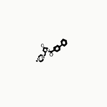 CN1CCN(CC2CC(=O)CN2C(=O)c2ccc(-c3ccccc3)cc2)CC1